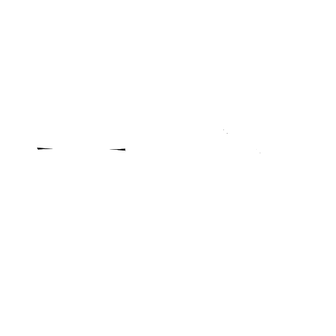 O=C(O)C[C@H]1CC[C@@H](c2ccc(-c3ccc(Nc4cccc(Cl)c4)nc3)cc2)CC1